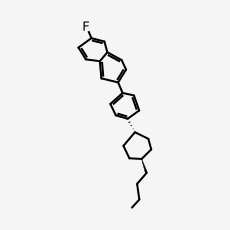 CCCC[C@H]1CC[C@H](c2ccc(-c3ccc4cc(F)ccc4c3)cc2)CC1